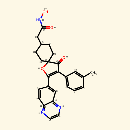 Cc1cccc(C2=C(c3ccc4nccnc4c3)OC3(CCC(CC(=O)NO)CC3)C2=O)c1